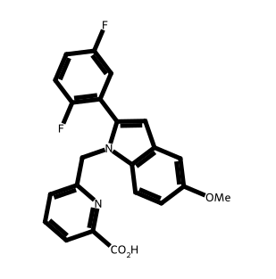 COc1ccc2c(c1)cc(-c1cc(F)ccc1F)n2Cc1cccc(C(=O)O)n1